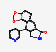 O=C1NCc2c1cc1ccc3c(c1c2-c1cccnc1)OCO3